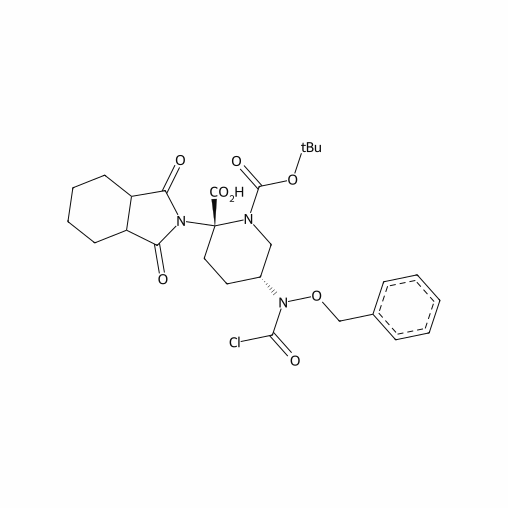 CC(C)(C)OC(=O)N1C[C@H](N(OCc2ccccc2)C(=O)Cl)CC[C@]1(C(=O)O)N1C(=O)C2CCCCC2C1=O